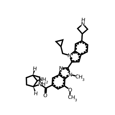 COc1cc(C(=O)N2C[C@H]3CC[C@@H]2[C@@H]3N)cc2nc(-c3cc4ccc(C5CNC5)cc4n3CC3CC3)n(C)c12